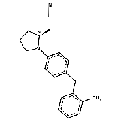 Cc1ccccc1Cc1ccc(N2CCC[C@H]2CC#N)cc1